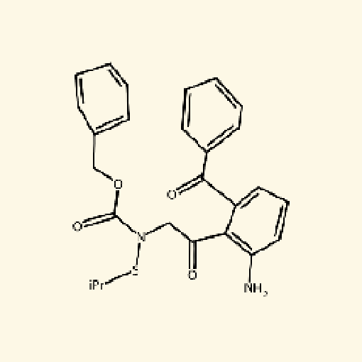 CC(C)SN(CC(=O)c1c(N)cccc1C(=O)c1ccccc1)C(=O)OCc1ccccc1